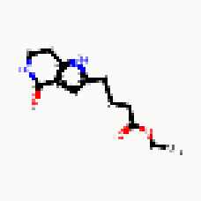 CCOC(=O)CCCc1cc2c([nH]1)CCNC2=O